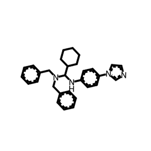 c1ccc(CN(Cc2ccccc2)C(Nc2ccc(-n3ccnc3)cc2)C2CCCCC2)cc1